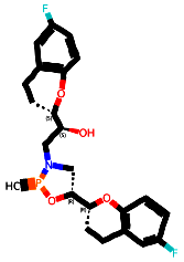 C#P1O[C@@H]([C@H]2CCc3cc(F)ccc3O2)CN1C[C@H](O)[C@@H]1CCc2cc(F)ccc2O1